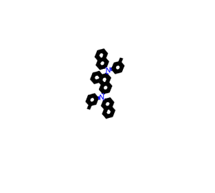 Cc1cccc(N(c2ccc3ccccc3c2)c2ccc3cc(N(c4cccc(C)c4)c4ccc5ccccc5c4)c4ccccc4c3c2)c1